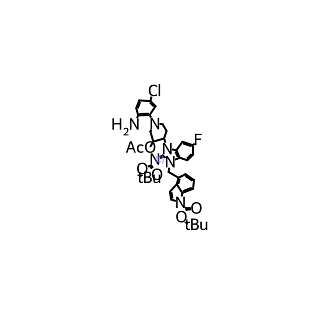 CC(=O)OC1CN(c2cc(Cl)ccc2N)CCC1n1/c(=N/C(=O)OC(C)(C)C)n(Cc2cccc3c2ccn3C(=O)OC(C)(C)C)c2ccc(F)cc21